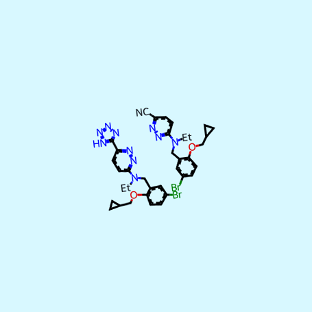 CCN(Cc1cc(Br)ccc1OCC1CC1)c1ccc(-c2nnn[nH]2)nn1.CCN(Cc1cc(Br)ccc1OCC1CC1)c1ccc(C#N)nn1